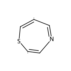 [C]1=CN=C[C]=CS1